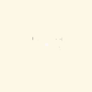 Cc1ccccc1/C=C/[C]=O